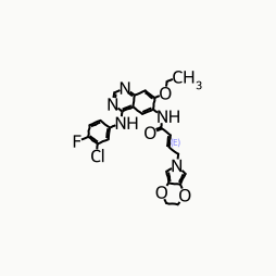 CCOc1cc2ncnc(Nc3ccc(F)c(Cl)c3)c2cc1NC(=O)/C=C/Cn1cc2c(c1)OCCO2